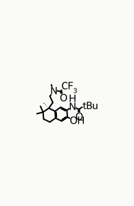 CN(CC[C@@]1(C)c2cc(NC(=O)C(C)(C)C)c(O)cc2CCC1(C)C)C(=O)C(F)(F)F